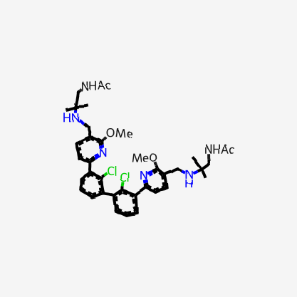 COc1nc(-c2cccc(-c3cccc(-c4ccc(CNC(C)(C)CNC(C)=O)c(OC)n4)c3Cl)c2Cl)ccc1CNC(C)(C)CNC(C)=O